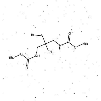 CC(CBr)(CNC(=O)OC(C)(C)C)CNC(=O)OC(C)(C)C